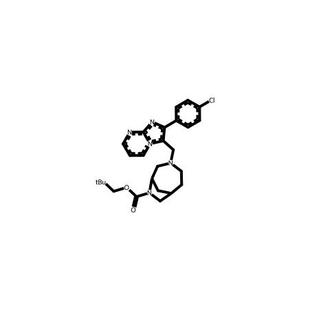 CC(C)(C)COC(=O)N1CC2CCN(Cc3c(-c4ccc(Cl)cc4)nc4ncccn34)CC1C2